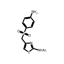 CC(=O)Nc1nc(CS(=O)(=O)c2ccc(N)cc2)cs1